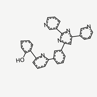 Oc1ccccc1-c1cccc(-c2cccc(-c3cc(-c4cccnc4)nc(-c4cccnc4)n3)c2)n1